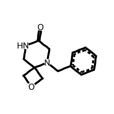 O=C1CN(Cc2ccccc2)C2(CN1)COC2